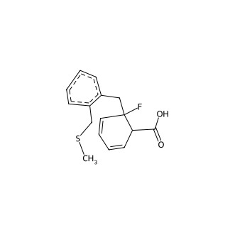 CSCc1ccccc1CC1(F)C=CC=CC1C(=O)O